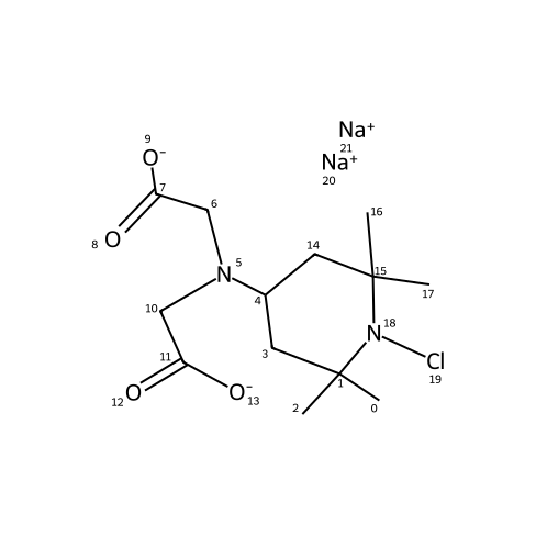 CC1(C)CC(N(CC(=O)[O-])CC(=O)[O-])CC(C)(C)N1Cl.[Na+].[Na+]